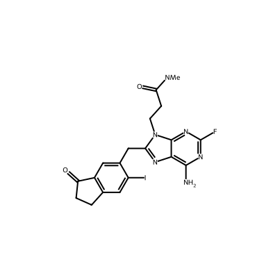 CNC(=O)CCn1c(Cc2cc3c(cc2I)CCC3=O)nc2c(N)nc(F)nc21